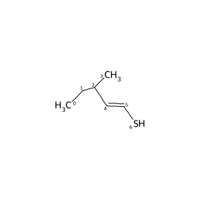 CCC(C)C=CS